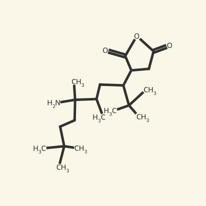 CC(CC(C1CC(=O)OC1=O)C(C)(C)C)C(C)(N)CCC(C)(C)C